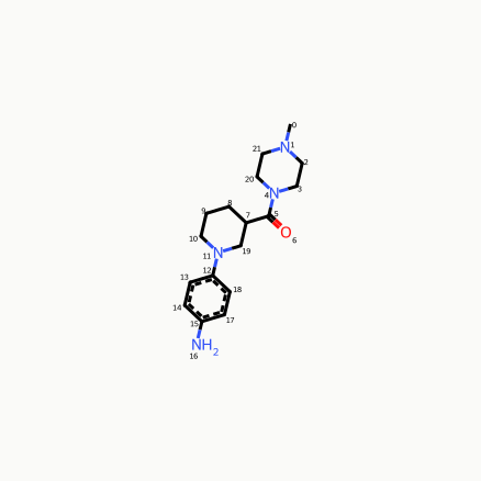 CN1CCN(C(=O)C2CCCN(c3ccc(N)cc3)C2)CC1